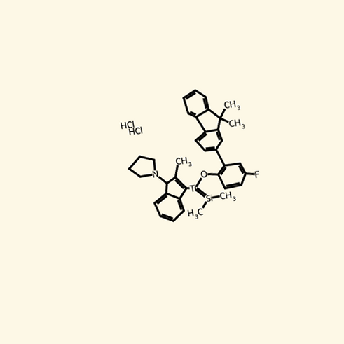 CC1=[C]([Ti]([O]c2ccc(F)cc2-c2ccc3c(c2)C(C)(C)c2ccccc2-3)=[Si](C)C)c2ccccc2C1N1CCCC1.Cl.Cl